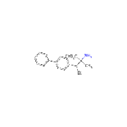 CCOC(=O)C(C)(N)C(CC)c1ccc(-c2ccccc2)cc1